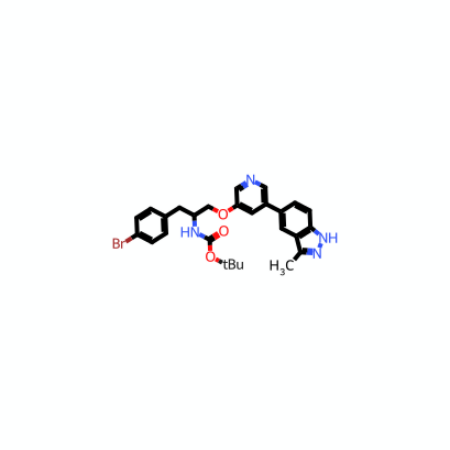 Cc1n[nH]c2ccc(-c3cncc(OCC(Cc4ccc(Br)cc4)NC(=O)OC(C)(C)C)c3)cc12